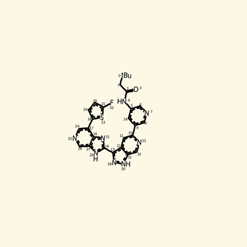 CC(C)(C)CC(=O)Nc1cncc(-c2cc3c(-c4nc5c(-c6ccc(F)s6)cncc5[nH]4)n[nH]c3cn2)c1